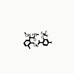 CNC(=O)/C(=N/OC)c1cccc(C)c1CO/N=C(\C)c1ccc(I)cc1OC(F)(F)F